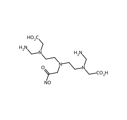 NCN(CCN(CCN(CN)CC(=O)O)CC(=O)N=O)CC(=O)O